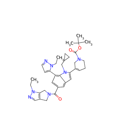 CCn1nccc1-c1cc(C(=O)N2Cc3cnn(CC)c3C2)cc2cc(C3=CCCN(C(=O)OC(C)(C)C)C3)n(CC3CC3)c12